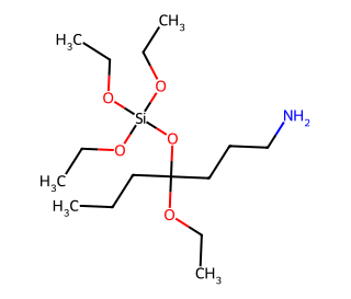 CCCC(CCCN)(OCC)O[Si](OCC)(OCC)OCC